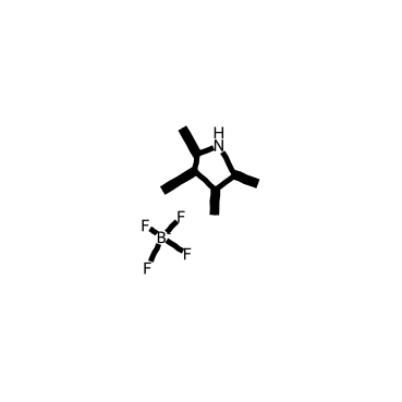 C=c1[nH]c(=C)c(=C)c1=C.F[B-](F)(F)F